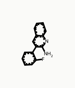 Nc1nc2ccccc2cc1-c1ccccc1F